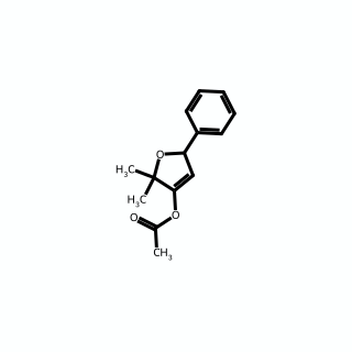 CC(=O)OC1=CC(c2ccccc2)OC1(C)C